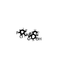 O=C(NCc1c(F)ccc(F)c1Cl)[C@]1(F)CC[C@H](O)c2ncccc21